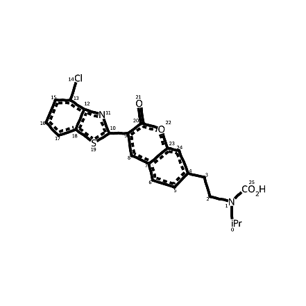 CC(C)N(CCc1ccc2cc(-c3nc4c(Cl)cccc4s3)c(=O)oc2c1)C(=O)O